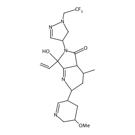 C=CC1(O)C2=NC(C3C=NCC(OC)C3)CC(C)C2C(=O)N1C1C=NN(CC(F)(F)F)C1